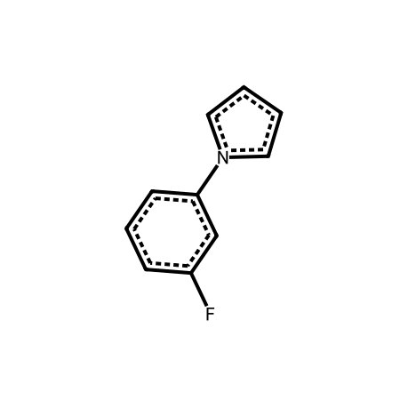 Fc1cccc(-n2cccc2)c1